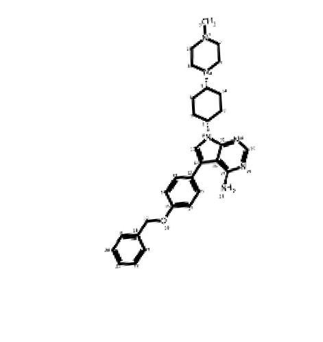 CN1CCN([C@H]2CC[C@@H](n3cc(-c4ccc(OCc5ccccc5)cc4)c4c(N)ncnc43)CC2)CC1